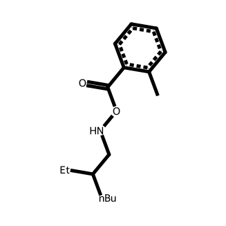 CCCCC(CC)CNOC(=O)c1ccccc1C